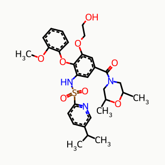 COc1ccccc1Oc1c(NS(=O)(=O)c2ccc(C(C)C)cn2)cc(C(=O)N2CC(C)OC(C)C2)cc1OCCO